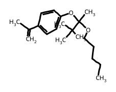 C=C(C)c1ccc(OC(C)(OCCCCC)C(C)(C)C)cc1